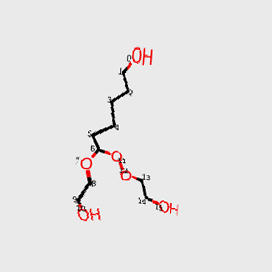 OCCCCCC(OCCO)OOCCO